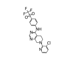 O=S(=O)(c1ccc(Nc2ncnc3c2CCN(c2ncccc2Cl)C3)cc1)C(F)(F)F